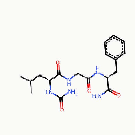 CC(C)C[C@H](NC(N)=O)C(=O)NCC(=O)N[C@@H](Cc1ccccc1)C(N)=O